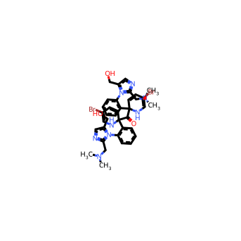 CN(C)Cc1ncc(CO)n1-c1ccccc1C1(C(=O)C2(c3ccccc3-n3c(CO)cnc3CN(C)C)C=CC(Br)=CN2)C=CC(Br)=CN1